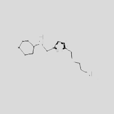 NCCSCc1ccc(CNC2CCCCC2)o1